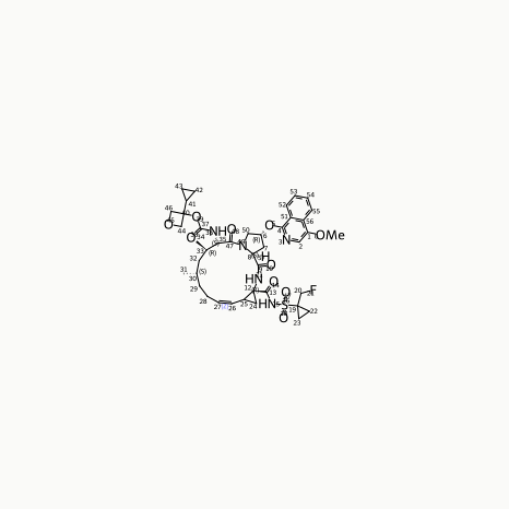 COc1cnc(O[C@@H]2C[C@H]3C(=O)N[C@]4(C(=O)NS(=O)(=O)C5(CF)CC5)CC4/C=C\CC[C@H](C)C[C@@H](C)[C@H](NC(=O)OC4(C5CC5)COC4)C(=O)N3C2)c2ccccc12